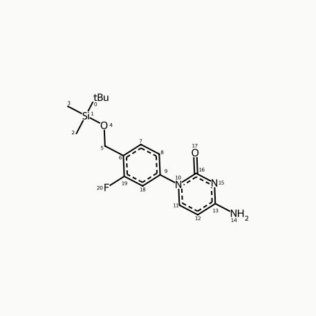 CC(C)(C)[Si](C)(C)OCc1ccc(-n2ccc(N)nc2=O)cc1F